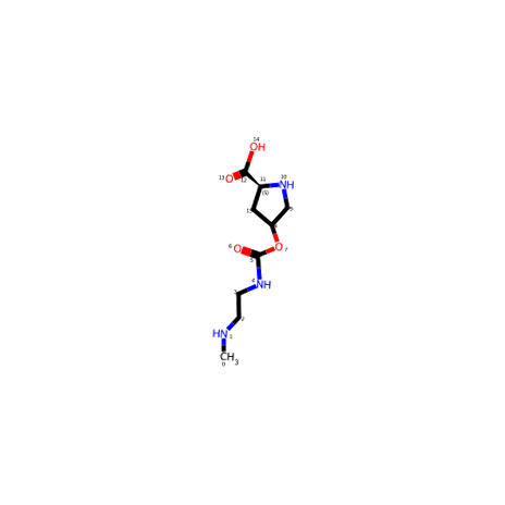 CNCCNC(=O)OC1CN[C@H](C(=O)O)C1